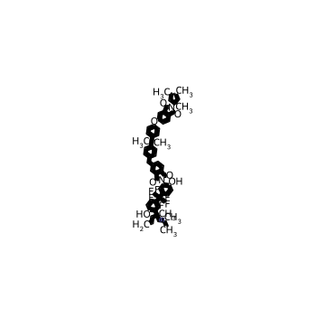 C=CCC(C)(/C=C(\C)CC)c1cc(C(c2ccc(O)c(N3C(=O)c4ccc(Cc5ccc(C(C)(C)c6ccc(Oc7ccc8c(c7)C(=O)N(C(C)(CCC)CCC)C8=O)cc6)cc5)cc4C3=O)c2)(C(F)(F)F)C(F)(F)F)ccc1O